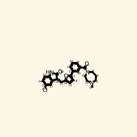 CN1CCCN(C(=O)c2cccc(-c3ccc(/C=C4\C(=O)Nc5ccc(Cl)cc54)o3)c2)CC1